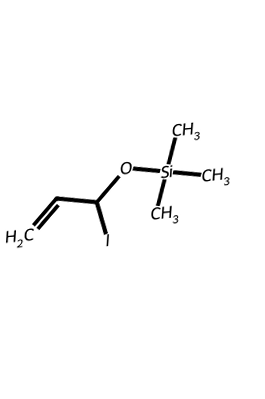 C=CC(I)O[Si](C)(C)C